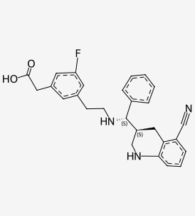 N#Cc1cccc2c1C[C@H]([C@H](NCCc1cc(F)cc(CC(=O)O)c1)c1ccccc1)CN2